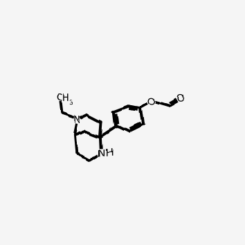 CCN1CCC2(c3ccc(OC=O)cc3)CC1CCN2